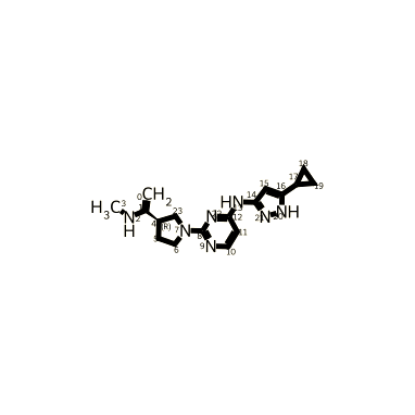 C=C(NC)[C@@H]1CCN(c2nccc(Nc3cc(C4CC4)[nH]n3)n2)C1